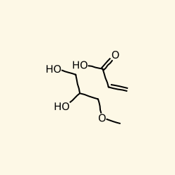 C=CC(=O)O.COCC(O)CO